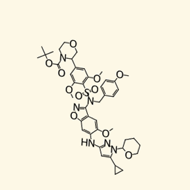 COc1ccc(CN(c2noc3cc(Nc4cc(C5CC5)n(C5CCCCO5)n4)c(OC)cc23)S(=O)(=O)c2c(OC)cc(C3COCCN3C(=O)OC(C)(C)C)cc2OC)cc1